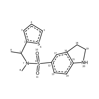 CC(c1cccs1)N(C)S(=O)(=O)c1ccc2c(c1)CCN2